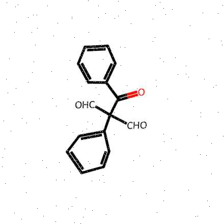 O=CC(C=O)(C(=O)c1ccccc1)c1ccccc1